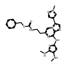 CNc1cc(Nc2nc(CCNC(=O)OCc3ccccc3)cn3c(-c4cnn(C)c4)cnc23)sc1NC